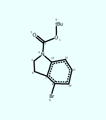 CC(C)(C)OC(=O)N1CCc2c(Br)cccc21